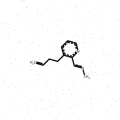 C=CCCc1cccnc1/C=N/C